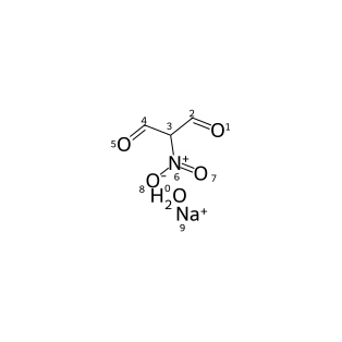 O.O=CC(C=O)[N+](=O)[O-].[Na+]